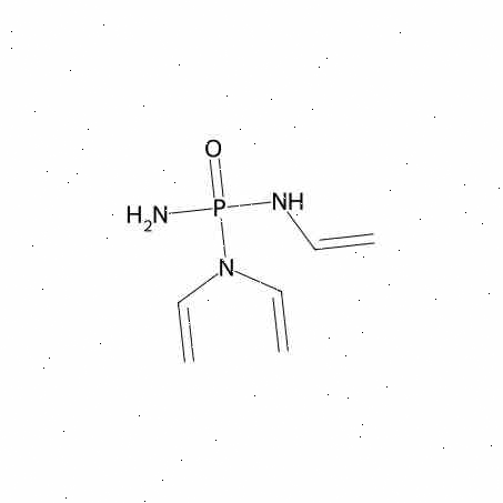 C=CNP(N)(=O)N(C=C)C=C